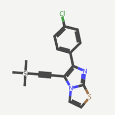 C[Si](C)(C)C#Cc1c(-c2ccc(Cl)cc2)nc2sccn12